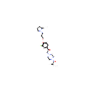 CC(C)C(=O)N1CCN(CC(=O)c2ccc(OCCCN3CCCC3C)c(F)c2)CC1